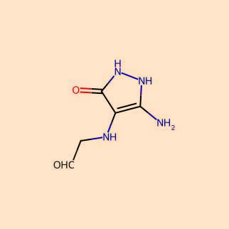 Nc1[nH][nH]c(=O)c1NCC=O